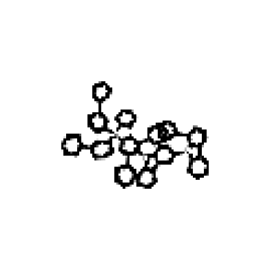 c1ccc(-c2cccc([Si](c3ccccc3)(c3cccc(-c4ccccc4)c3)c3cc(-c4ccccc4)c(-n4c5ccccc5c5cc(-n6c7ccccc7c7cccc(-c8ccccc8)c76)ccc54)c(-c4ccccc4)c3)c2)cc1